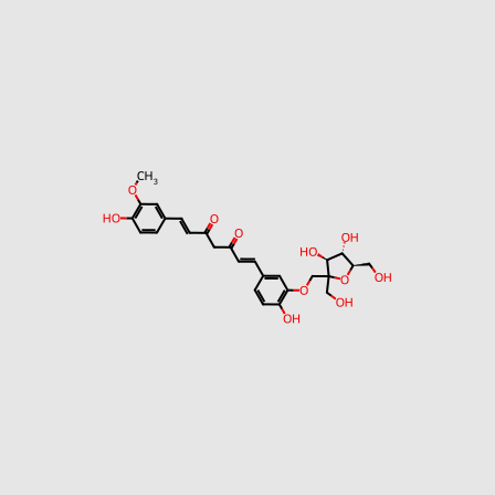 COc1cc(/C=C/C(=O)CC(=O)/C=C/c2ccc(O)c(OCC3(CO)O[C@H](CO)[C@@H](O)[C@@H]3O)c2)ccc1O